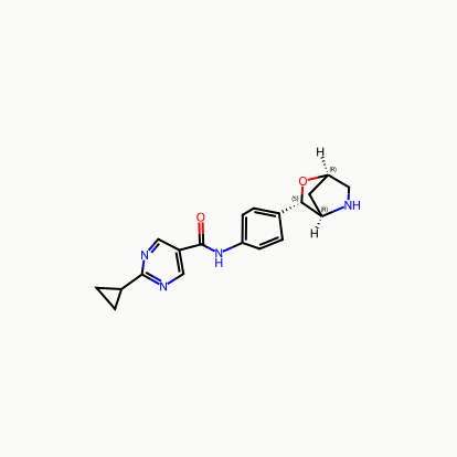 O=C(Nc1ccc([C@@H]2O[C@H]3CN[C@@H]2C3)cc1)c1cnc(C2CC2)nc1